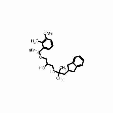 CCC[C@@H](OCC(O)CNC(C)(C)CC1Cc2ccccc2C1)c1cccc(OC)c1C